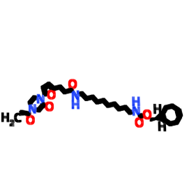 C=CC(=O)N1CCN(c2ccc(CCC(=O)NCCCCCCCCCCNC(=O)OC[C@@H]3[C@@H]4CCC#CCC[C@@H]43)o2)C(=O)C1